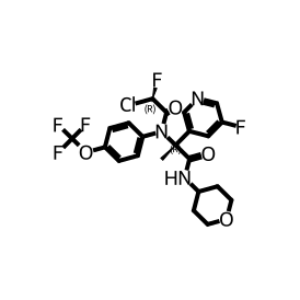 C[C@](C(=O)NC1CCOCC1)(c1cncc(F)c1)N(C(=O)[C@H](F)Cl)c1ccc(OC(F)(F)F)cc1